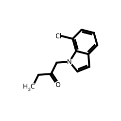 CCC(=O)Cn1ccc2cccc(Cl)c21